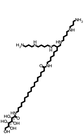 NCCCNCCCCNCC(CCCCCCNC(=O)CCCCCCCCCCCCCCCCCNC(=O)[C@@H](O)[C@H](O)[C@@H](O)[C@H](O)CO)CNCCCCNCCCN